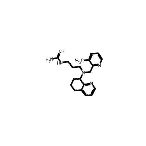 Cc1cccnc1CN(CCCNC(=N)N)C1CCCc2cccnc21